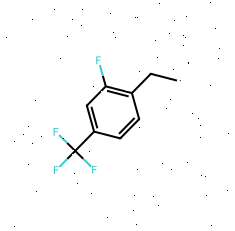 [CH2]Cc1ccc(C(F)(F)F)cc1F